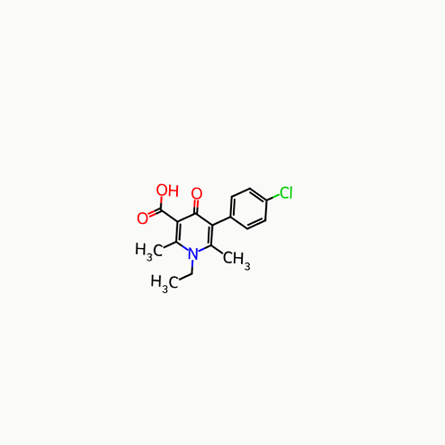 CCn1c(C)c(C(=O)O)c(=O)c(-c2ccc(Cl)cc2)c1C